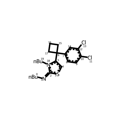 CCCCN=c1scc(C2(c3ccc(Cl)c(Cl)c3)CCC2)n1CCCC